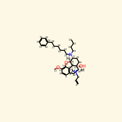 C=CCN1CC[C@]23c4c5ccc(OC)c4O[C@H]2[C@H](N(CCCC)CCCCCCc2ccccc2)CC[C@@]3(O)[C@H]1C5